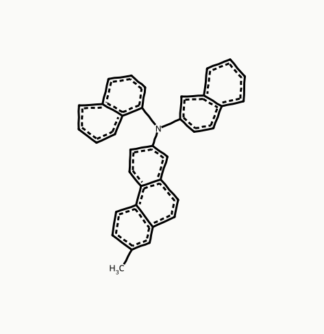 Cc1ccc2c(ccc3cc(N(c4ccc5ccccc5c4)c4cccc5ccccc45)ccc32)c1